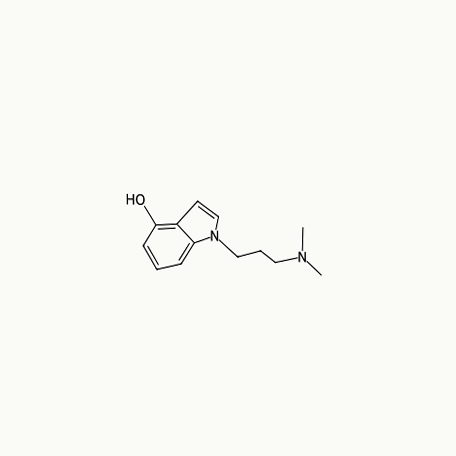 CN(C)CCCn1ccc2c(O)cccc21